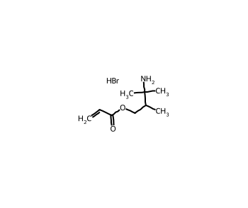 Br.C=CC(=O)OCC(C)C(C)(C)N